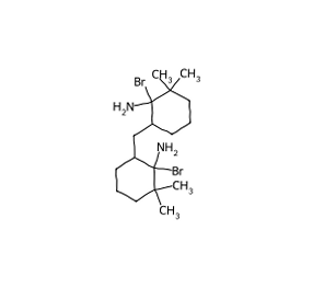 CC1(C)CCCC(CC2CCCC(C)(C)C2(N)Br)C1(N)Br